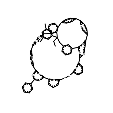 CCC1(c2cc(C)cc(C)c2)Cc2cccc(c2)-c2nc3nc(n2)-c2cccc(c2)CCc2cccc(c2)-c2nc(-c4ccccc4)nc(n2)-c2ccc(nc2)-c2ccc(cc2)-c2cccc(c21)-c1ccc(cc1)-c1ccc-3cn1